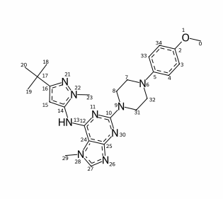 COc1ccc(N2CCN(c3nc(Nc4cc(C(C)(C)C)nn4C)c4c(ncn4C)n3)CC2)cc1